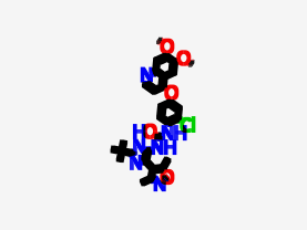 COc1cc2nccc(Oc3ccc(NC(=O)Nc4[nH]c(C(C)(C)C)nc4-c4c(C)noc4C)c(Cl)c3)c2cc1OC